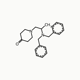 CC(CN1CCC(=O)CC1)N(Cc1ccccc1)Cc1ccccc1